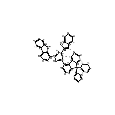 c1ccc(C2(c3ccccc3)c3ccccc3-c3c(-c4nc(-c5cc6ccccc6o5)nc(-c5cccc6c5sc5ccccc56)n4)cccc32)cc1